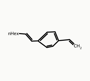 C=Cc1ccc(C=CCCCCCC)cc1